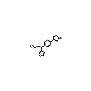 NCCC(c1ccc(-c2cn[nH]c2)cc1)c1ccoc1